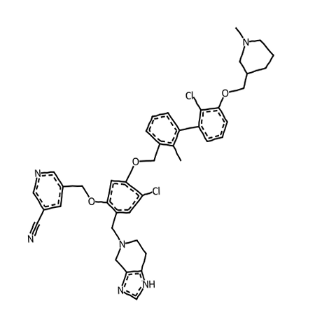 Cc1c(COc2cc(OCc3cncc(C#N)c3)c(CN3CCc4[nH]cnc4C3)cc2Cl)cccc1-c1cccc(OCC2CCCN(C)C2)c1Cl